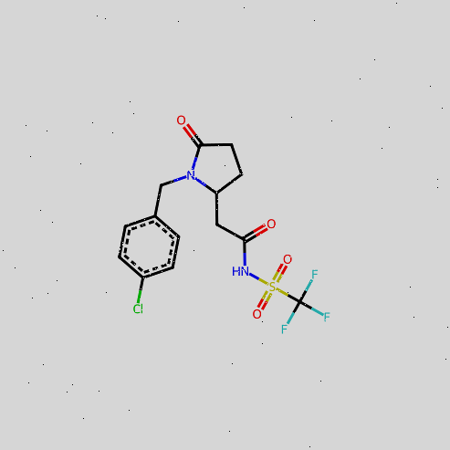 O=C(CC1CCC(=O)N1Cc1ccc(Cl)cc1)NS(=O)(=O)C(F)(F)F